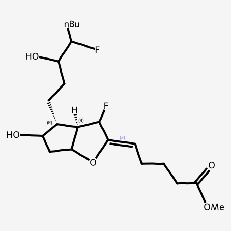 CCCCC(F)C(O)CC[C@H]1C(O)CC2O/C(=C\CCCC(=O)OC)C(F)[C@@H]21